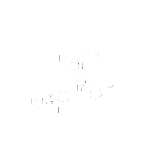 CCc1sc(-c2cc(-c3cccc(C#CC4CCC4)c3)n(Cc3ccc(S(N)(=O)=O)c(F)c3)c2CC2CC2)nc1C(=O)O